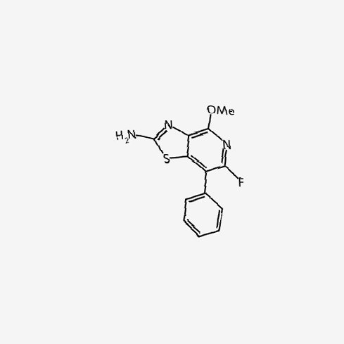 COc1nc(F)c(-c2ccccc2)c2sc(N)nc12